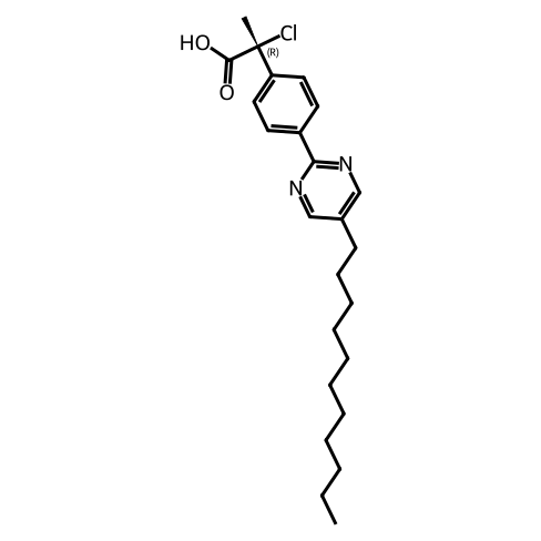 CCCCCCCCCCCc1cnc(-c2ccc([C@@](C)(Cl)C(=O)O)cc2)nc1